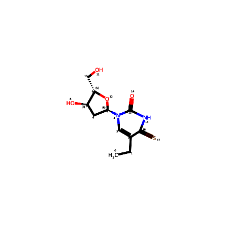 CCc1cn([C@H]2C[C@@H](O)[C@H](CO)O2)c(=O)[nH]c1=S